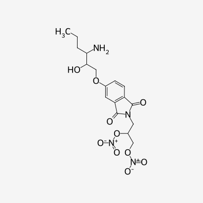 CCCC(N)C(O)COc1ccc2c(c1)C(=O)N(CC(CO[N+](=O)[O-])O[N+](=O)[O-])C2=O